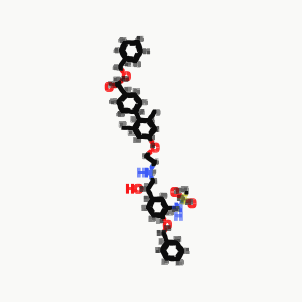 Cc1cc(OCCNC[C@@H](O)c2ccc(OCc3ccccc3)c(NS(C)(=O)=O)c2)cc(C)c1-c1ccc(C(=O)OCc2ccccc2)cc1